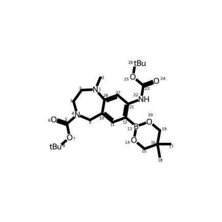 CN1CCN(C(=O)OC(C)(C)C)Cc2cc(B3OCC(C)(C)CO3)c(NC(=O)OC(C)(C)C)cc21